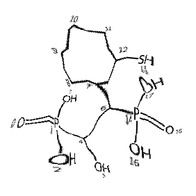 O=P(O)(O)C(O)C(C1CCCCC1S)P(=O)(O)O